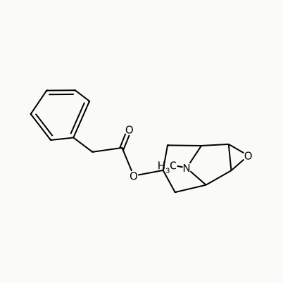 CN1C2CC(OC(=O)Cc3ccccc3)CC1C1OC12